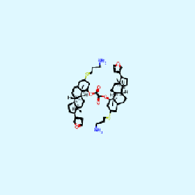 C[C@]12C(CC[C@@H]3[C@H]1CC[C@]1(C)C(c4ccoc4)CC[C@@H]31)CC(SCCCN)CC2OC(=O)C(=O)OC1CC(SCCCN)CC2CC[C@@H]3[C@@H](CC[C@]4(C)C(c5ccoc5)CC[C@@H]34)[C@]21C